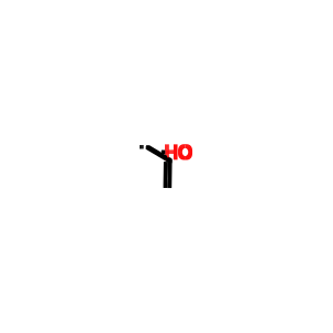 [CH2]C=C.[OH]